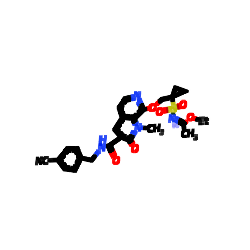 CCO/C(C)=N\S(=O)(=O)C1(COc2nccc3cc(C(=O)NCc4ccc(C#N)cc4)c(=O)n(C)c23)CC1